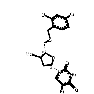 CCc1cn([C@@H]2CC(O)[C@H](CSCc3ccc(Cl)cc3Cl)O2)c(=O)[nH]c1=O